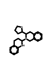 [C]1c2ccccc2CC(C2CCCO2)N1C1CCc2ccccc2N1